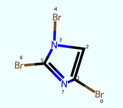 Brc1cn(Br)c(Br)n1